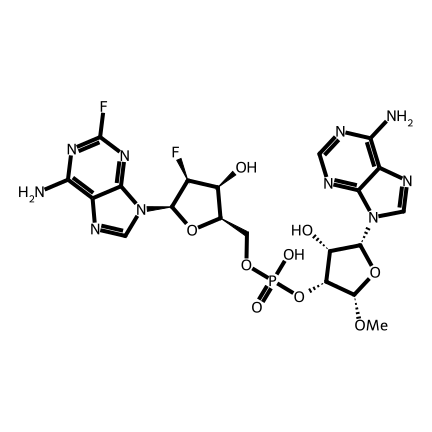 CO[C@H]1O[C@@H](n2cnc3c(N)ncnc32)[C@@H](O)[C@H]1OP(=O)(O)OC[C@H]1O[C@@H](n2cnc3c(N)nc(F)nc32)[C@@H](F)[C@H]1O